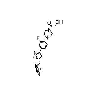 [N-]=[N+]=NC[C@H]1CC(c2ccc(N3CCN(C(=O)CO)CC3)c(F)c2)=NO1